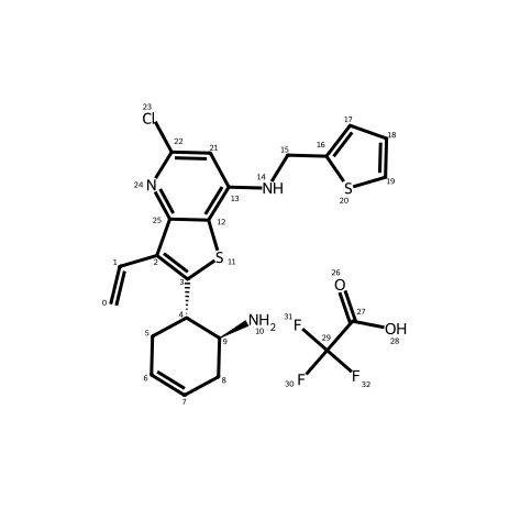 C=Cc1c([C@H]2CC=CC[C@@H]2N)sc2c(NCc3cccs3)cc(Cl)nc12.O=C(O)C(F)(F)F